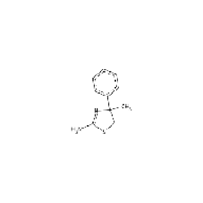 CC1(c2ccccc2)CSC(N)=N1